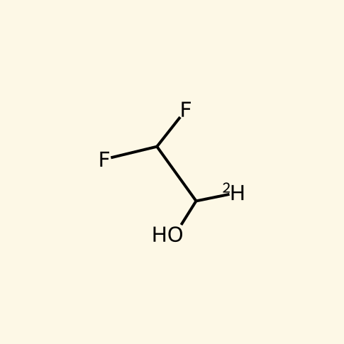 [2H]C(O)C(F)F